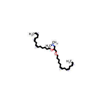 C/C=C\C/C=C\C/C=C\CCCCCOCC(CN(C)C)OCCCCC/C=C\C/C=C\C/C=C\C